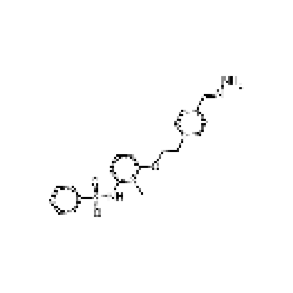 Cc1c(NS(=O)(=O)c2ccccc2)cccc1OCCc1ccc(C=NN)cc1